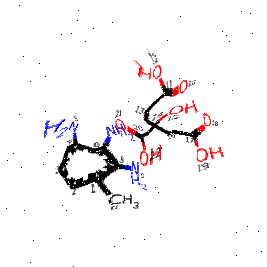 Cc1ccc(N)c(N)c1N.O=C(O)CC(O)(CC(=O)O)C(=O)O